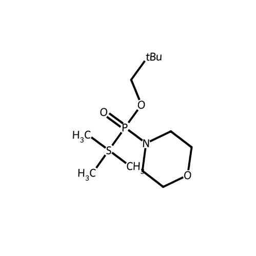 CC(C)(C)COP(=O)(N1CCOCC1)S(C)(C)C